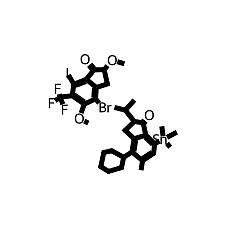 COc1c(Br)c2c(c(I)c1C(F)(F)F)C(=O)C(OC)C2.Cc1c[c]([Sn]([CH3])([CH3])[CH3])c2c(c1C1CCCCC1)CC(C(C)C)C2=O